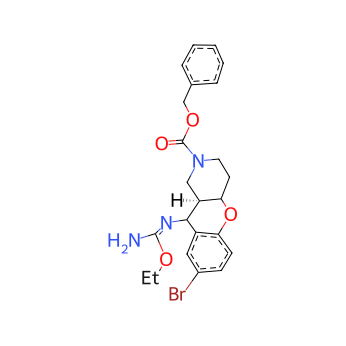 CCO/C(N)=N\C1c2cc(Br)ccc2OC2CCN(C(=O)OCc3ccccc3)C[C@@H]21